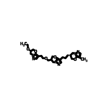 CCO[C@H]1COc2c(CCOCC3COc4c(CCC[C@H]5COc6c(C)cnn6C5)cnn4C3)cnn2C1